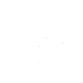 CC(C)(C)OC(=O)NC1=N[C@@]2(c3cc(Br)ccc3F)COC[C@H]2CS1